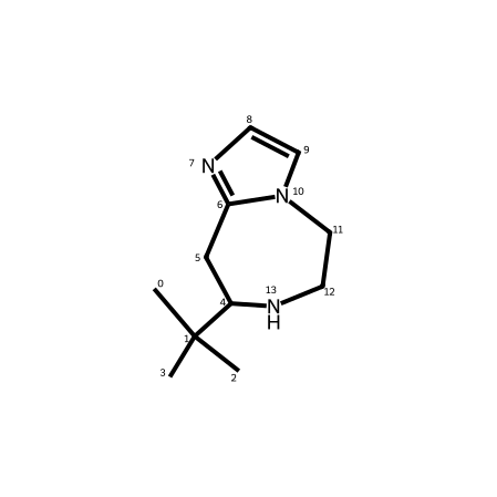 CC(C)(C)C1Cc2nccn2CCN1